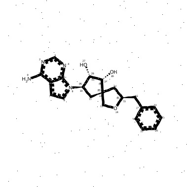 Nc1ncnc2c1ccn2[C@@H]1C[C@@]2(CO[C@H](Cc3ccccc3)C2)[C@@H](O)[C@H]1O